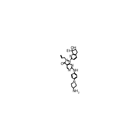 C=CCn1c(=O)c2cnc(Nc3ccc(N4CCC(N)CC4)cc3)nc2n1-c1ccc2c(n1)[C@@](O)(CC)CC2